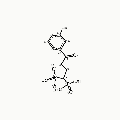 O=C(CCC(P(=O)(O)O)P(=O)(O)O)c1cccc(F)c1